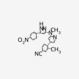 Cc1cc(C#N)ccc1-c1ccnc(N(C)c2cc(-c3ccc([N+](=O)[O-])cc3)[nH]n2)c1